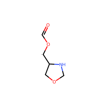 O=CO[CH]C1COCN1